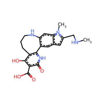 CNCc1cc2cc3c(cc2n1C)NCCCc1c-3[nH]c(=O)c(C(=O)O)c1O